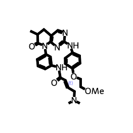 COCCOc1ccc(Nc2ncc3c(n2)N(c2cccc(NC(=O)/C=C/CN(C)C)c2)C(=O)C(C)C3)cc1